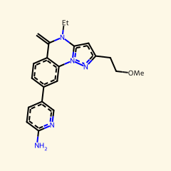 C=C1c2ccc(-c3ccc(N)nc3)cc2-n2nc(CCOC)cc2N1CC